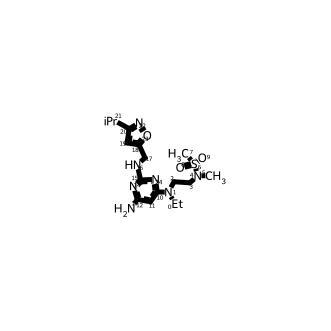 CCN(CCN(C)S(C)(=O)=O)c1cc(N)nc(NCc2cc(C(C)C)no2)n1